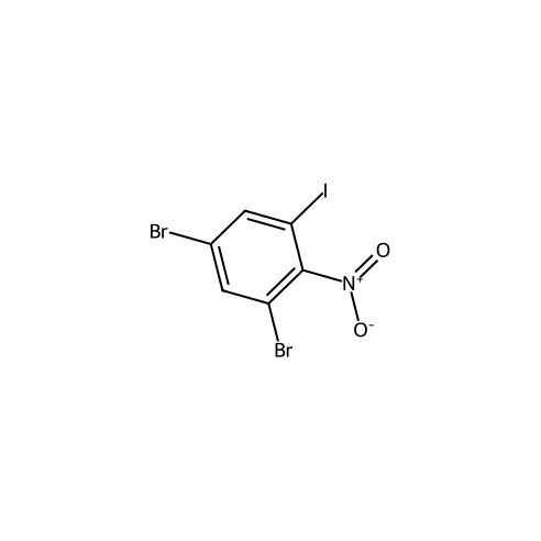 O=[N+]([O-])c1c(Br)cc(Br)cc1I